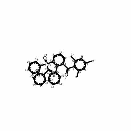 Cc1cc(C)c(C(=O)c2cccc(P(=O)(C(=O)c3ccccc3)c3ccccc3)c2-c2ccccc2)c(C)c1